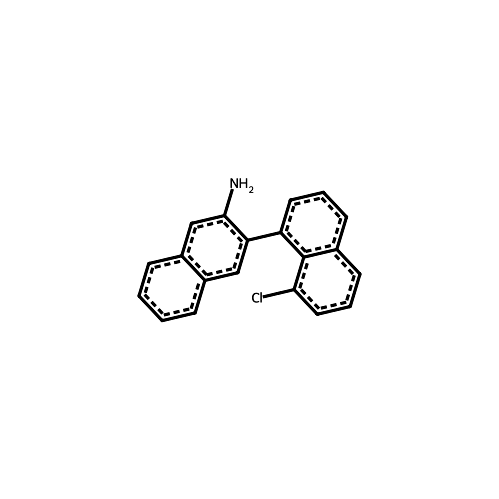 Nc1cc2ccccc2cc1-c1cccc2cccc(Cl)c12